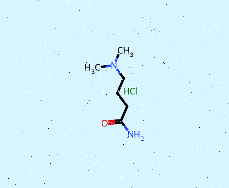 CN(C)CCCC(N)=O.Cl